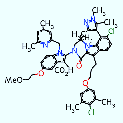 COCCOc1ccc2c(c1)c(C(=O)O)c(N1C[C@@H](C)n3c(c(CCCOc4cc(C)c(Cl)c(C)c4)c4ccc(Cl)c(-c5c(C)nn(C)c5C)c43)C1=O)n2Cc1cc(C)cc(C)n1